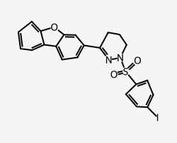 O=S(=O)(c1ccc(I)cc1)N1CCCC(c2ccc3c(c2)oc2ccccc23)=N1